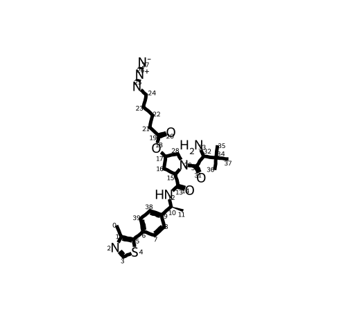 Cc1ncsc1-c1ccc([C@H](C)NC(=O)C2CC(OC(=O)CCCCN=[N+]=[N-])CN2C(=O)C(N)C(C)(C)C)cc1